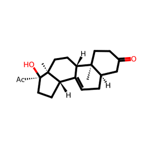 CC(=O)[C@@]1(O)CC[C@H]2C3=CC[C@@H]4CC(=O)CC[C@]4(C)[C@H]3CC[C@@]21C